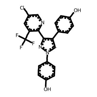 Oc1ccc(-c2[c]n(-c3ccc(O)cc3)nc2-c2ncc(Cl)cc2C(F)(F)F)cc1